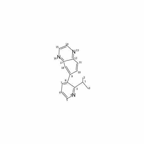 CC(C)c1ncccc1-c1ccc2nccnc2c1